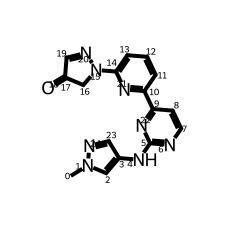 Cn1cc(Nc2nccc(-c3cccc(N4CC(=O)C=N4)n3)n2)cn1